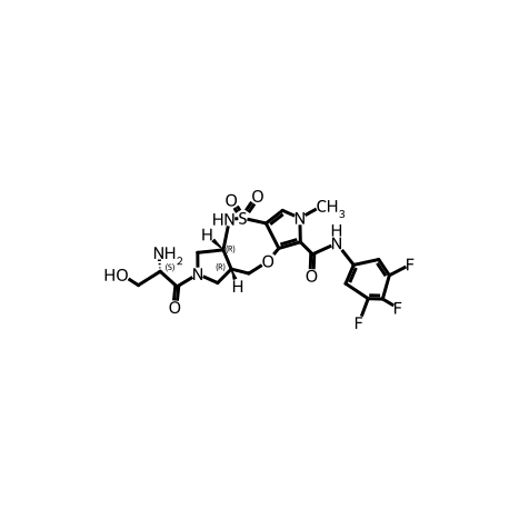 Cn1cc2c(c1C(=O)Nc1cc(F)c(F)c(F)c1)OC[C@@H]1CN(C(=O)[C@@H](N)CO)C[C@@H]1NS2(=O)=O